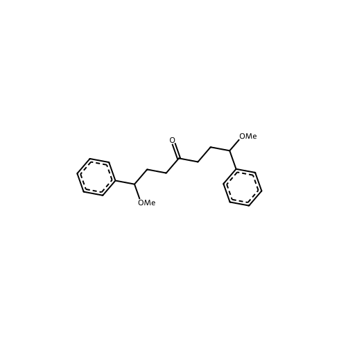 COC(CCC(=O)CCC(OC)c1ccccc1)c1ccccc1